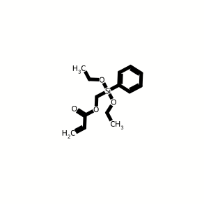 C=CC(=O)OC[Si](OCC)(OCC)c1ccccc1